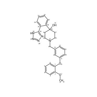 COc1ccccc1Oc1cccc(CN2CCC(O)(c3ccccc3-c3nnn[nH]3)CC2)c1